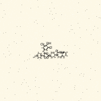 CCN1CCN(C(=O)[C@@H](Cc2cc(Cl)c(O)c(Cl)c2)OC(=O)N2CCC(N3CCc4ccccc4NC3=O)CC2)CC1